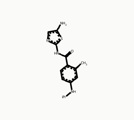 Cc1cc(NC(C)C)ccc1C(=O)Nc1ncc(N)s1